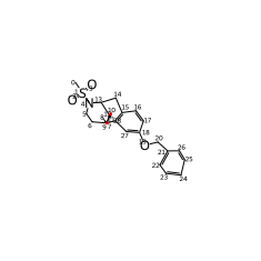 CS(=O)(=O)N1CCC23CCCCC2C1Cc1ccc(OCc2ccccc2)cc13